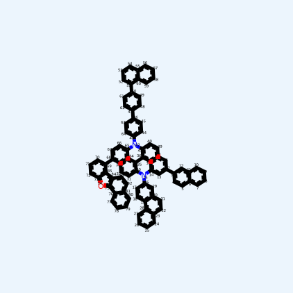 c1cc(-c2ccc3ccccc3c2)cc(N(c2ccc3c(ccc4ccccc43)c2)c2ccccc2-c2ccccc2N(c2ccc(-c3ccc(-c4cccc5ccccc45)cc3)cc2)c2ccc(-c3cccc4oc5c6ccccc6ccc5c34)cc2)c1